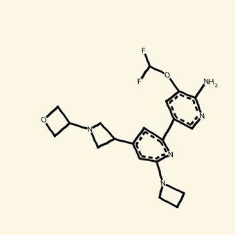 Nc1ncc(-c2cc(C3CN(C4COC4)C3)cc(N3CCC3)n2)cc1OC(F)F